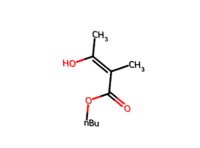 CCCCOC(=O)C(C)=C(C)O